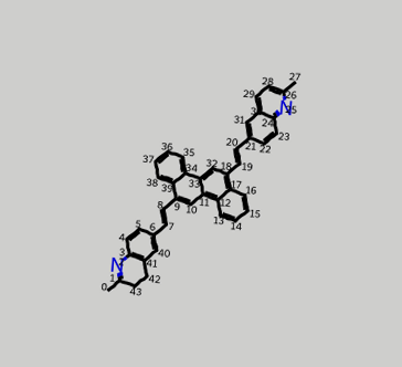 CC1=Nc2ccc(/C=C/c3cc4c5ccccc5c(/C=C/c5ccc6nc(C)ccc6c5)cc4c4ccccc34)cc2CC1